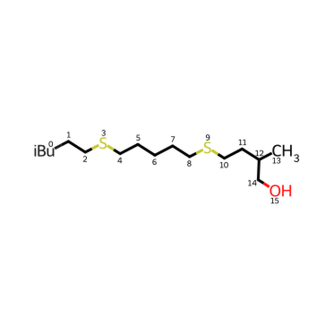 CCC(C)CCSCCCCCSCCC(C)CO